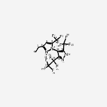 CCc1cc(C(F)(F)F)n(C2=C(C(F)(F)F)[N]N=C2C(F)(F)C(F)(F)F)n1